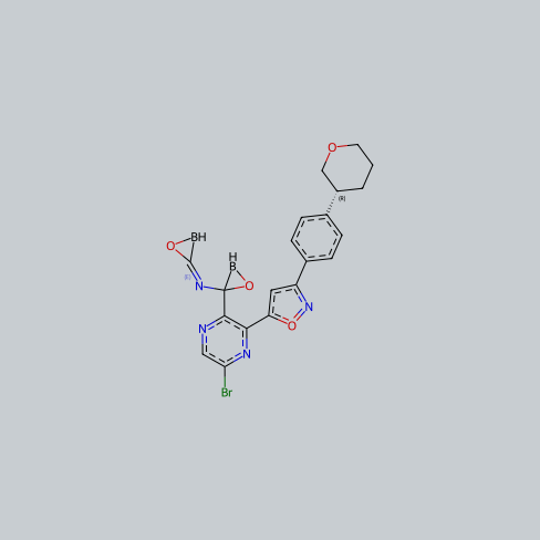 Brc1cnc(C2(/N=C3\BO3)BO2)c(-c2cc(-c3ccc([C@H]4CCCOC4)cc3)no2)n1